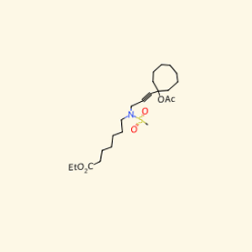 CCOC(=O)CCCCCCN(CC#CC1(OC(C)=O)CCCCCCC1)S(C)(=O)=O